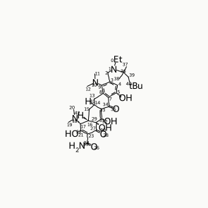 CCN(Cc1cc(O)c2c(c1N(C)C)C[C@H]1C[C@H]3[C@H](N(C)C)C(O)=C(C(N)=O)C(=O)[C@@]3(O)C(O)=C1C2=O)C(C)(C)CC(C)(C)C